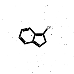 [CH2]C1=c2ccccc2=CC1